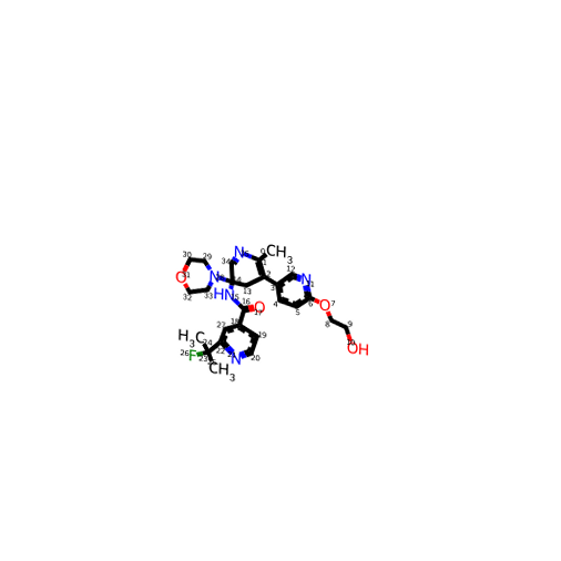 CC1=C(c2ccc(OCCO)nc2)CC(NC(=O)c2ccnc(C(C)(C)F)c2)(N2CCOCC2)C=N1